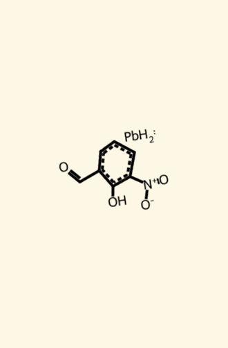 O=Cc1cccc([N+](=O)[O-])c1O.[PbH2]